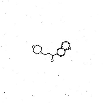 O=C(CCN1CCOCC1)c1ccc2ncccc2c1